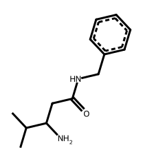 CC(C)C(N)CC(=O)NCc1ccccc1